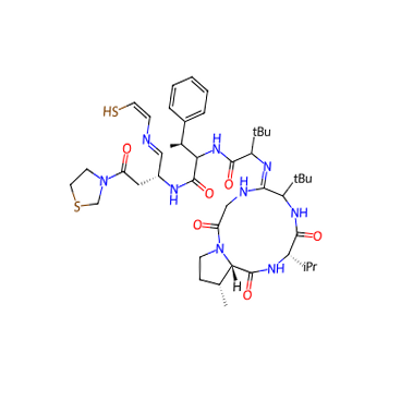 CC(C)[C@@H]1NC(=O)[C@@H]2[C@H](C)CCN2C(=O)CN/C(=N\C(C(=O)NC(C(=O)N[C@@H](/C=N/C=C\S)CC(=O)N2CCSC2)[C@@H](C)c2ccccc2)C(C)(C)C)C(C(C)(C)C)NC1=O